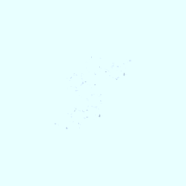 CC(Nc1ccc2c(c1)Sc1cccc(C3CN(c4cc[nH]c(=O)c4)CCO3)c1S2)c1nccc(CF)n1